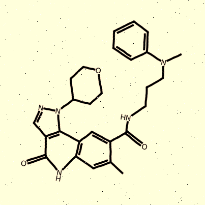 Cc1cc2[nH]c(=O)c3cnn(C4CCOCC4)c3c2cc1C(=O)NCCCN(C)c1ccccc1